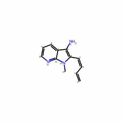 C=C/C=C\c1c(N)c2cccnc2n1C